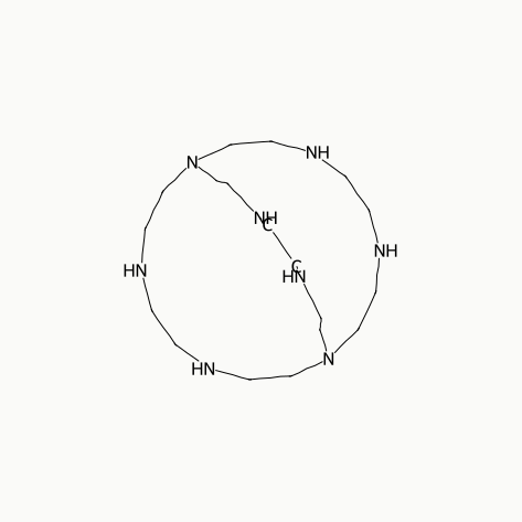 C1CNCCN2CCNCCNCCN(CCN1)CCNCCNCC2